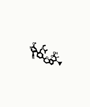 CCN(Cc1cc(C2CCc3ccc([C@H](C4CC4)[C@H](C)C(=O)O)cc3O2)ccc1-c1cc(OC)ncc1C#N)C(C)C